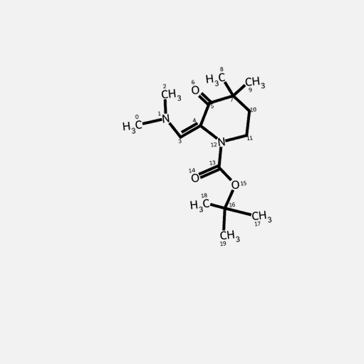 CN(C)C=C1C(=O)C(C)(C)CCN1C(=O)OC(C)(C)C